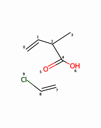 C=CC(C)C(=O)O.C=CCl